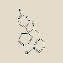 CCC([CH]c1cccc(Cl)c1)C1(c2ccc(F)cc2)C=CC=CC1